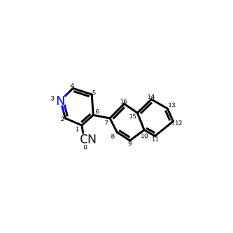 N#Cc1cnccc1-c1ccc2c[c]ccc2c1